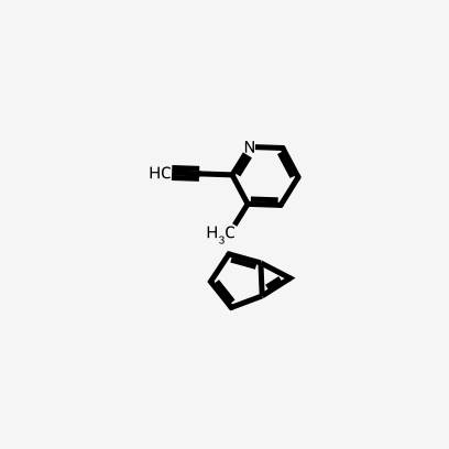 C#Cc1ncccc1C.c1cc2cc-2c1